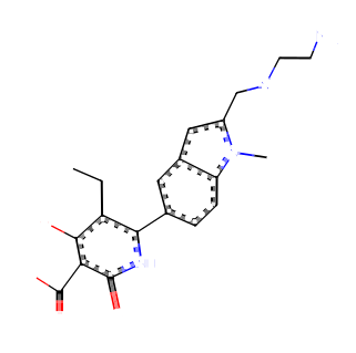 CCc1c(-c2ccc3c(c2)cc(CNCCN)n3C)[nH]c(=O)c(C(=O)O)c1O